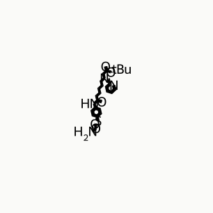 CC(C)(C)OC(=O)CN(CCCCCC(=O)Nc1ccc(SOON)cc1)Cc1ccccn1